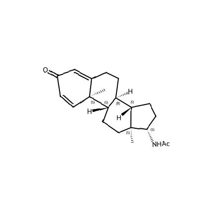 CC(=O)N[C@H]1CC[C@H]2[C@@H]3CCC4=CC(=O)C=C[C@]4(C)[C@H]3CC[C@]12C